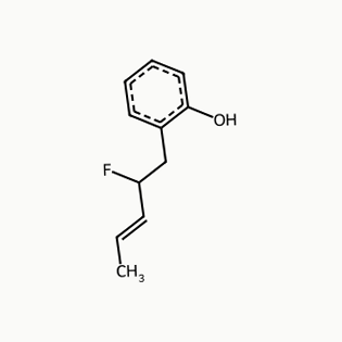 CC=CC(F)Cc1ccccc1O